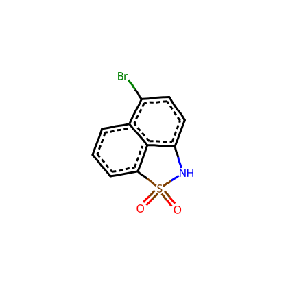 O=S1(=O)Nc2ccc(Br)c3cccc1c23